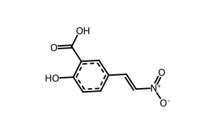 O=C(O)c1cc(C=C[N+](=O)[O-])ccc1O